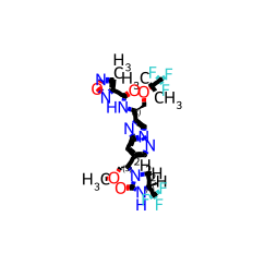 [2H]C1([2H])N([C@H](COC)c2cnn3cc([C@H](COC(C)(C)C(F)(F)F)NC(=O)c4nonc4C)nc3c2)C(=O)N[C@@]1([2H])C(F)(F)F